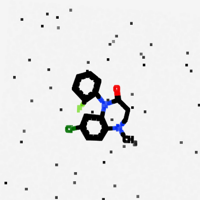 CN1CCC(=O)N(c2ccccc2F)c2cc(Cl)ccc21